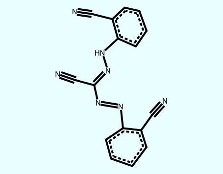 N#CC(N=Nc1ccccc1C#N)=NNc1ccccc1C#N